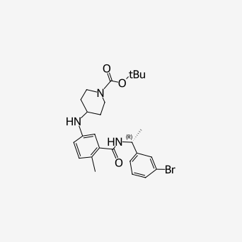 Cc1ccc(NC2CCN(C(=O)OC(C)(C)C)CC2)cc1C(=O)N[C@H](C)c1cccc(Br)c1